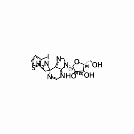 NC1(Cc2sccc2I)N=CN=C2C1=NCN2[C@@H]1O[C@H](CO)[C@@H](O)[C@H]1O